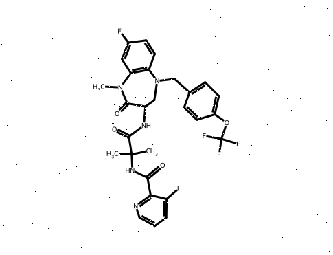 CN1C(=O)C(NC(=O)C(C)(C)NC(=O)c2ncccc2F)CN(Cc2ccc(OC(F)(F)F)cc2)c2ccc(F)cc21